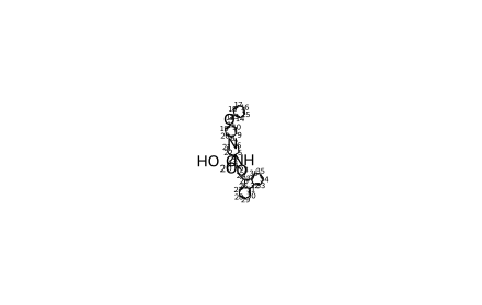 O=C(NC1(C(=O)O)CCN(c2ccc(Oc3ccccc3)cc2)CC1)OCC1c2ccccc2-c2ccccc21